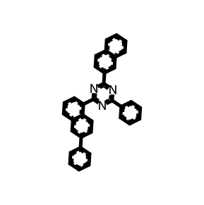 c1ccc(-c2ccc3c(-c4nc(-c5ccccc5)nc(-c5ccc6ccccc6c5)n4)cccc3c2)cc1